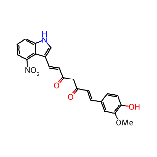 COc1cc(C=CC(=O)CC(=O)C=Cc2c[nH]c3cccc([N+](=O)[O-])c23)ccc1O